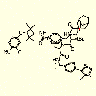 Cc1ncsc1-c1ccc([C@H](C)NC(=O)[C@@H]2C[C@@H](O)CN2C(=O)[C@@H](NC(=O)CN2C3CCC2CN(CCCc2ccc(C(=O)N[C@H]4C(C)(C)[C@H](Oc5ccc(C#N)c(Cl)c5)C4(C)C)cc2)C3)C(C)(C)C)cc1